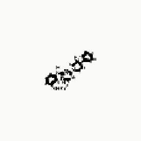 CC(=O)Nc1cccc(Nc2ncnc(N3CC[C@H](c4ccccc4)[C@@H](F)C3)n2)c1C